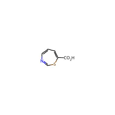 O=C(O)C1=CC=CN=CS1